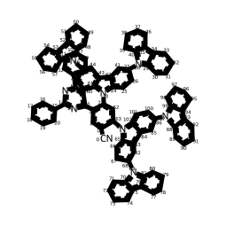 N#Cc1cc(-c2cc(-c3ccccc3)nc(-c3ccccc3)n2)c(-n2c3ccc(-n4c5ccccc5c5ccccc54)cc3c3cc(-n4c5ccccc5c5ccccc54)ccc32)cc1-n1c2ccc(-n3c4ccccc4c4ccccc43)cc2c2cc(-n3c4ccccc4c4ccccc43)ccc21